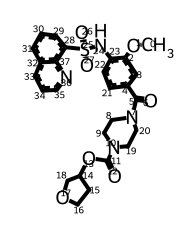 COc1cc(C(=O)N2CCN(C(=O)OC3CCOC3)CC2)ccc1NS(=O)(=O)c1cccc2cccnc12